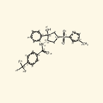 Cn1cnc(S(=O)(=O)N2C[C@H](NC(=O)c3ccc(C(F)(F)F)cc3)[C@](O)(c3ccccc3)C2)c1